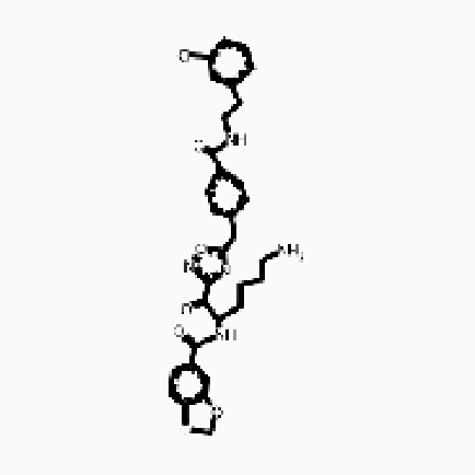 NCCCCC(NC(=O)c1ccc2c(c1)OCO2)C(=O)c1noc(Cc2ccc(C(=O)NCCc3cccc(Cl)c3)cc2)n1